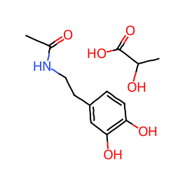 CC(=O)NCCc1ccc(O)c(O)c1.CC(O)C(=O)O